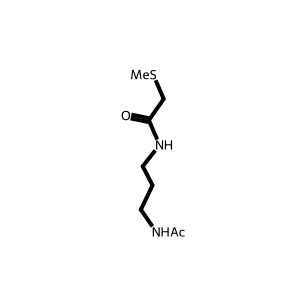 CSCC(=O)NCCCNC(C)=O